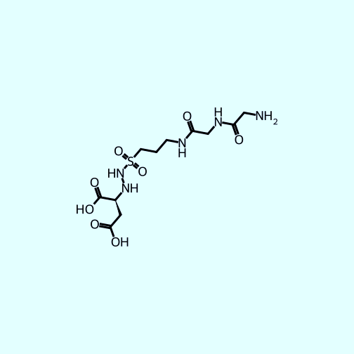 NCC(=O)NCC(=O)NCCCS(=O)(=O)NN[C@@H](CC(=O)O)C(=O)O